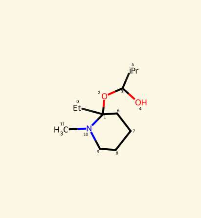 CCC1(OC(O)C(C)C)CCCCN1C